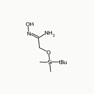 CC(C)(C)[Si](C)(C)OC/C(N)=N/O